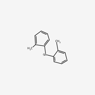 Cc1cccc[c]1[Sn][c]1ccccc1C